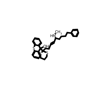 CNC(C#CCCC1(C2(O)c3ccccc3Sc3ccccc32)SCCCS1)CCCCc1ccccc1